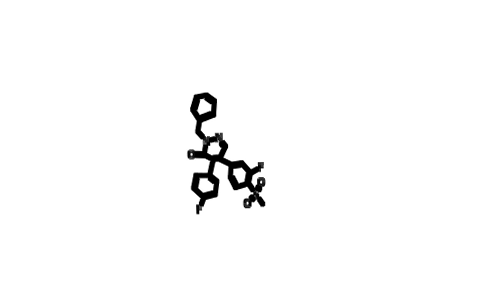 CS(=O)(=O)c1ccc(-c2cnn(Cc3ccccc3)c(=O)c2-c2ccc(F)cc2)cc1F